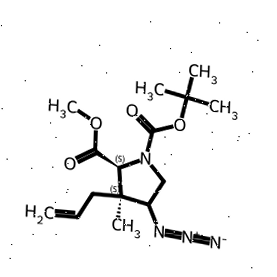 C=CC[C@]1(C)C(N=[N+]=[N-])CN(C(=O)OC(C)(C)C)[C@@H]1C(=O)OC